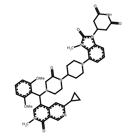 COc1cccc(OC)c1C(c1cn(C)c(=O)c2cnc(C3CC3)cc12)N1CCN(C2CCN(c3cccc4c3n(C)c(=O)n4C3CC(=O)NC(=O)C3)CC2)C(=O)C1